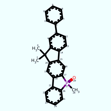 CC1(C)c2cc(-c3ccccc3)ccc2-c2cc3c(cc21)-c1ccccc1P3(C)=O